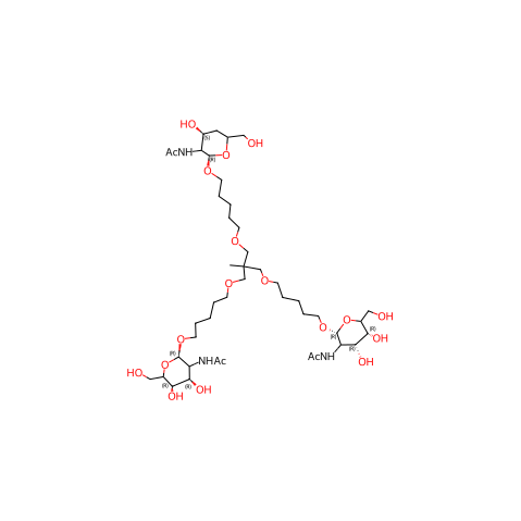 CC(=O)NC1[C@H](OCCCCCOCC(C)(COCCCCCO[C@@H]2OC(CO)[C@H](O)[C@H](O)C2NC(C)=O)COCCCCCO[C@@H]2OC(CO)C[C@H](O)C2NC(C)=O)OC(CO)[C@H](O)[C@@H]1O